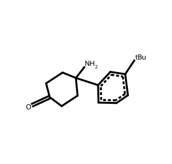 CC(C)(C)c1cccc(C2(N)CCC(=O)CC2)c1